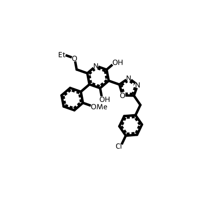 CCOCc1nc(O)c(-c2nnc(Cc3ccc(Cl)cc3)o2)c(O)c1-c1ccccc1OC